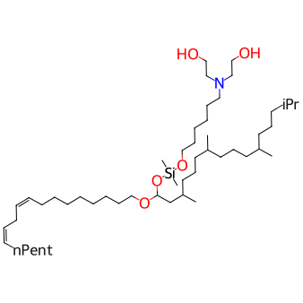 CCCCC/C=C\C/C=C\CCCCCCCCOC(CC(C)CCCC(C)CCCC(C)CCCC(C)C)O[Si](C)(C)OCCCCCCN(CCO)CCO